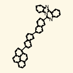 c1cc2ccc3ccc(-c4ccc5cc(-c6ccc7cc(-c8nc9ccccc9c9nc%10ccccc%10n89)ccc7c6)ccc5c4)c4ccc(c1)c2c34